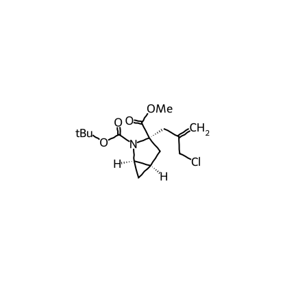 C=C(CCl)C[C@]1(C(=O)OC)C[C@H]2C[C@H]2N1C(=O)OC(C)(C)C